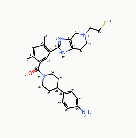 Cc1cc(C)c(-c2nc3c([nH]2)CCN(CCF)C3)cc1C(=O)N1CCC(c2ccc(N)cc2)CC1